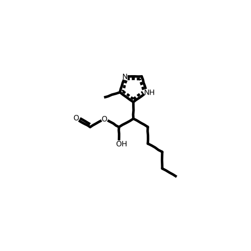 CCCCCC(c1[nH]cnc1C)C(O)OC=O